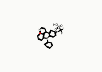 O=S(=O)(O)C(F)(F)F.c1ccc(P(c2ccccc2)c2ccccc2-c2ccncc2)cc1